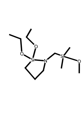 CCO[Si]1(OCC)CCCN1C[Si](C)(C)OC